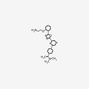 C=C(c1ccc(-c2cncc(-c3nnc(-c4ccccc4OCCN)o3)n2)cc1)N(C)C